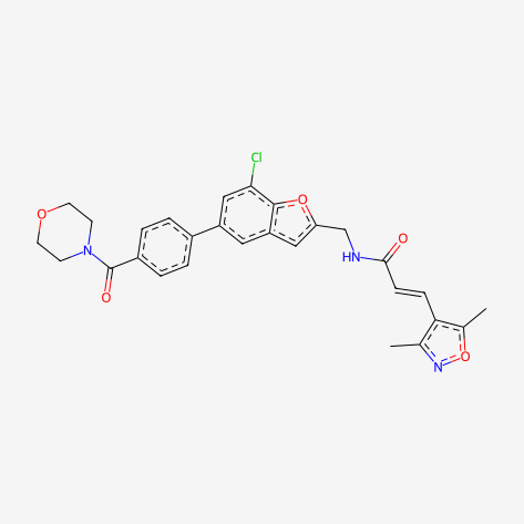 Cc1noc(C)c1C=CC(=O)NCc1cc2cc(-c3ccc(C(=O)N4CCOCC4)cc3)cc(Cl)c2o1